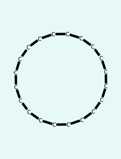 [CH]1CCCCCCC[CH]CCCCCCCCCCC1